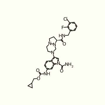 NC(=O)n1cc(N2CCN3CC[C@@H](C(=O)NCc4cccc(Cl)c4F)N3C2)c2ccc(NC(=O)OCC3CC3)cc21